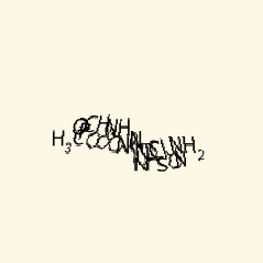 CP(C)(=O)c1ccc2c(c1)C(N)C1(CCN(c3nc4ccc(Sc5ccnc(N)c5Cl)c5ncc3n45)CC1)C2